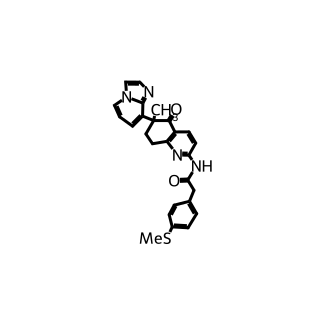 CSc1ccc(CC(=O)Nc2ccc3c(n2)CCC(C)(c2cccn4ccnc24)C3=O)cc1